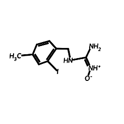 Cc1ccc(CN/C(N)=[NH+]\[O-])c(I)c1